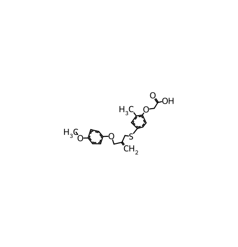 C=C(COc1ccc(OC)cc1)CSc1ccc(OCC(=O)O)c(C)c1